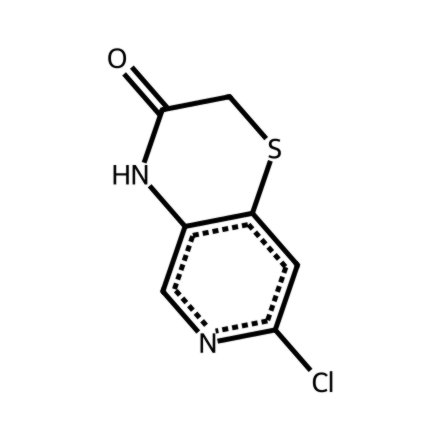 O=C1CSc2cc(Cl)ncc2N1